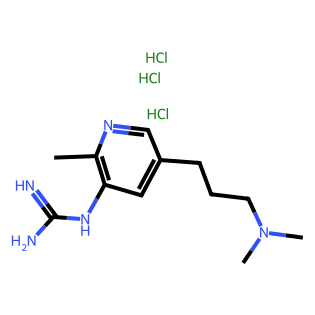 Cc1ncc(CCCN(C)C)cc1NC(=N)N.Cl.Cl.Cl